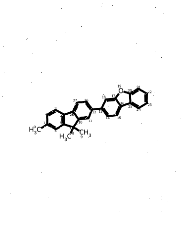 Cc1ccc2c(c1)C(C)(C)c1cc(-c3ccc4c(c3)oc3ccccc34)ccc1-2